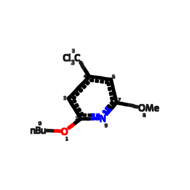 CCCCOc1cc(C(Cl)(Cl)Cl)cc(OC)n1